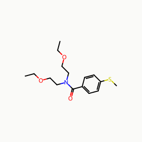 CCOCCN(CCOCC)C(=O)c1ccc(SC)cc1